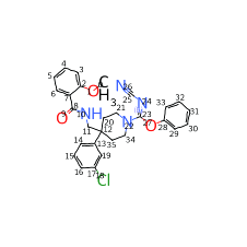 COc1ccccc1C(=O)NCC1(c2cccc(Cl)c2)CCN(/C(=N\C#N)Oc2ccccc2)CC1